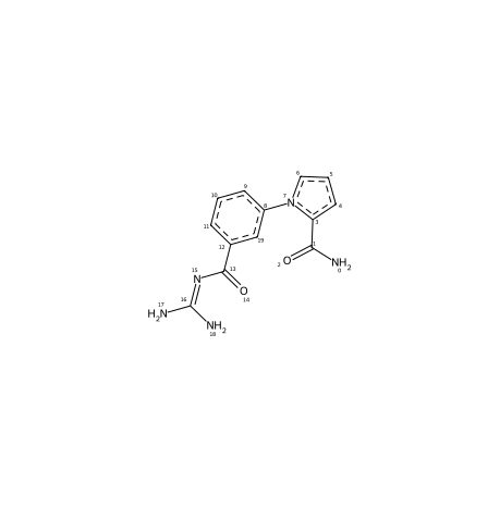 NC(=O)c1cccn1-c1cccc(C(=O)N=C(N)N)c1